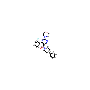 O=C(c1cnc(N2CCOCC2)nc1-c1ccccc1F)N1CC=C(c2ccccc2)CC1